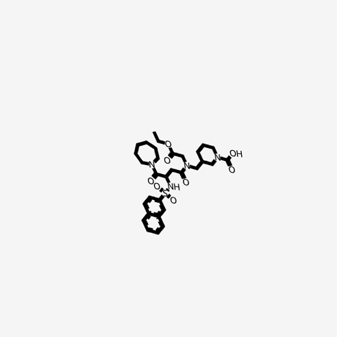 CCOC(=O)CN(CC1CCCN(C(=O)O)C1)C(=O)CC(NS(=O)(=O)c1ccc2ccccc2c1)C(=O)N1CCCCCC1